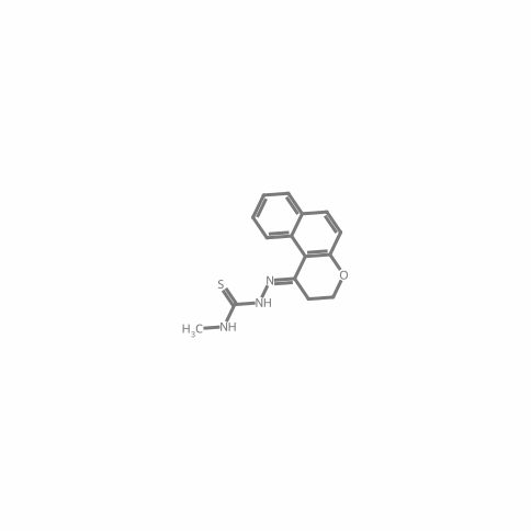 CNC(=S)N/N=C1\CCOc2ccc3ccccc3c21